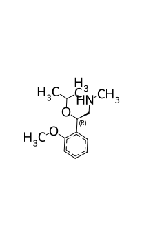 CNC[C@H](OC(C)C)c1ccccc1OC